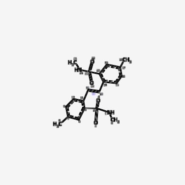 CNS(=O)(=O)c1cc(C)ccc1/C=C/c1ccc(C)cc1S(=O)(=O)NC